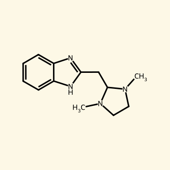 CN1CCN(C)C1Cc1nc2ccccc2[nH]1